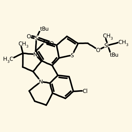 CC1(C)CC(N2CCCc3cc(Cl)cc(-c4ccnc5cc(CO[Si](C)(C)C(C)(C)C)sc45)c32)CN1S(=O)(=O)C(C)(C)C